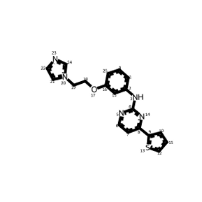 c1cc(Nc2nccc(-c3cccs3)n2)cc(OCCn2ccnc2)c1